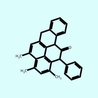 Cc1cc(C)c2c(C)cc3c4c2c1C(c1ccccc1)C(=O)C4c1ccccc1C3